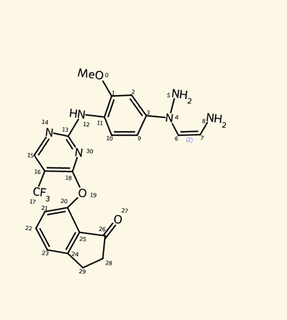 COc1cc(N(N)/C=C\N)ccc1Nc1ncc(C(F)(F)F)c(Oc2cccc3c2C(=O)CC3)n1